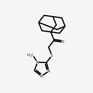 Cn1cnnc1SCC(=O)C12CC3CC(CC(C3)C1)C2